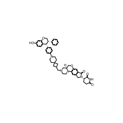 O=C1CC[C@H](N2Cc3cc4c(cc3C2=O)OC[C@@H]2CN(CC3CC5(CCN(c6ccc([C@@H]7c8ccc(O)cc8OC[C@@H]7c7ccccc7)cc6)CC5)C3)CCN42)C(=O)N1